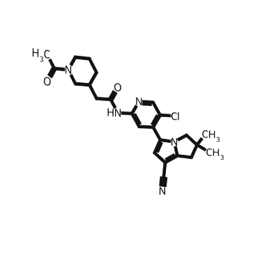 CC(=O)N1CCCC(CC(=O)Nc2cc(-c3cc(C#N)c4n3CC(C)(C)C4)c(Cl)cn2)C1